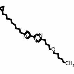 CCCCCCOCCCCc1cnc(-c2ccc(CCCCCCCCCC3CC3)nc2)cn1